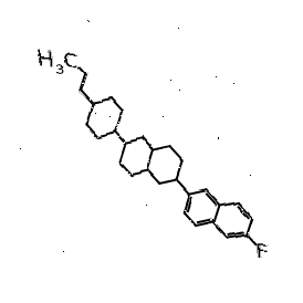 CCCC1CCC(C2CCC3CC(c4ccc5cc(F)ccc5c4)CCC3C2)CC1